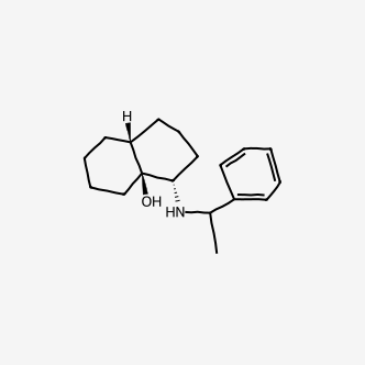 CC(N[C@H]1CCC[C@H]2CCCC[C@]21O)c1ccccc1